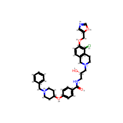 O=C(NC[C@H](O)CN1CCc2c(ccc(OCc3cnco3)c2Cl)C1)c1ccc(OC2CCN(Cc3ccccc3)CC2)cc1